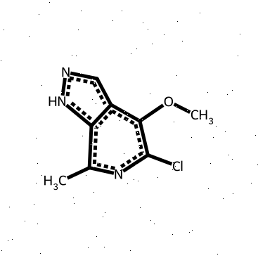 COc1c(Cl)nc(C)c2[nH]ncc12